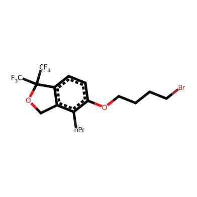 CCCc1c(OCCCCBr)ccc2c1COC2(C(F)(F)F)C(F)(F)F